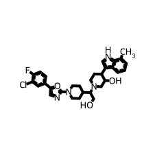 Cc1cccc2c(C3CCN(C(CO)C4CCN(c5ncc(-c6ccc(F)c(Cl)c6)o5)CC4)CC3O)c[nH]c12